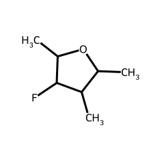 CC1OC(C)C(F)C1C